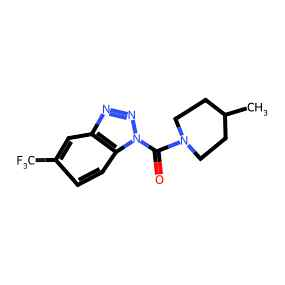 CC1CCN(C(=O)n2nnc3cc(C(F)(F)F)ccc32)CC1